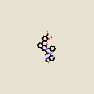 COc1cc(-c2cccc3cc([C@H](C)Nc4nccc5scnc45)n(-c4ccccc4)c(=O)c23)ccc1C=O